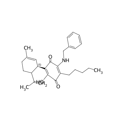 C=C(C)C1CCC(C)=C[C@H]1C1=C(O)C(=O)C(CCCCC)=C(NCc2ccccc2)C1=O